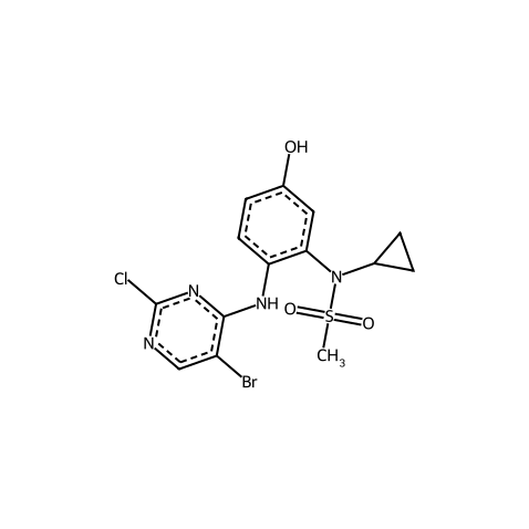 CS(=O)(=O)N(c1cc(O)ccc1Nc1nc(Cl)ncc1Br)C1CC1